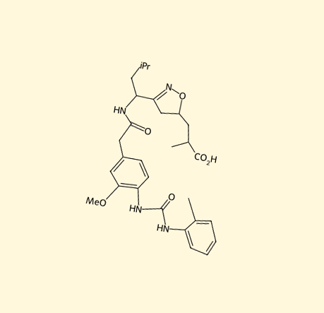 COc1cc(CC(=O)NC(CC(C)C)C2=NOC(CC(C)C(=O)O)C2)ccc1NC(=O)Nc1ccccc1C